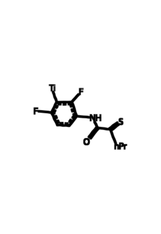 CCCC(=S)C(=O)Nc1ccc(F)[c]([Ti])c1F